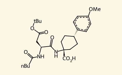 CCCCC(=O)N[C@@H](CC(=O)OC(C)(C)C)C(=O)N[C@]1(C(=O)O)CC[C@H](c2ccc(OC)cc2)CC1